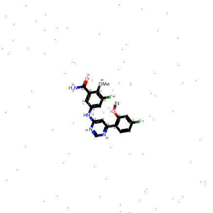 CCOc1cc(F)ccc1-c1cc(Nc2cc(F)c(OC)c(C(N)=O)c2)ncn1